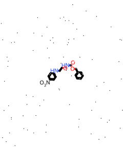 O=C(NOCCNc1ccc([N+](=O)[O-])cc1)OCc1ccccc1